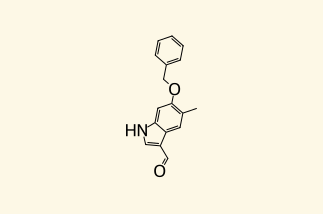 Cc1cc2c(C=O)c[nH]c2cc1OCc1ccccc1